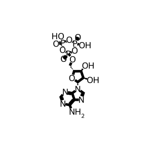 Nc1ncnc2c1ncn2[C@@H]1O[C@H](COP2(=O)OP(=O)(O)OP(=O)(O)O2)[C@@H](O)[C@H]1O